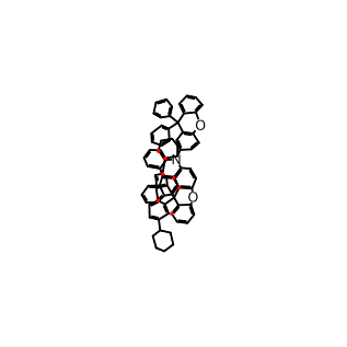 c1ccc(C2(c3ccccc3)c3ccccc3Oc3ccc(N(c4ccc5c(c4)C4(c6ccccc6O5)c5cc(C6CCCCC6)ccc5-c5ccc(C6CCCCC6)cc54)c4ccccc4-c4cccc5ccccc45)cc32)cc1